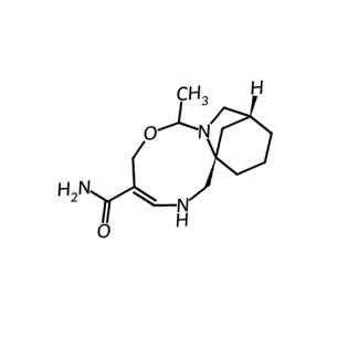 CC1OC/C(C(N)=O)=C\NC[C@@]23CCC[C@@H](CN12)C3